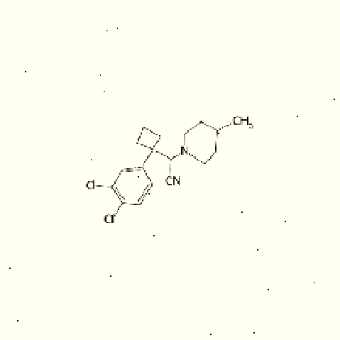 CC1CCN(C(C#N)C2(c3ccc(Cl)c(Cl)c3)CCC2)CC1